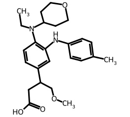 CCN(c1ccc(C(COC)CC(=O)O)cc1Nc1ccc(C)cc1)C1CCOCC1